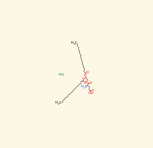 CCCCCCCCCCCCCCCCCC(=O)OCC(COC(=O)C(N)CCC(=O)O)OC(=O)CCCCCCCCCCCCCCCCC.Cl